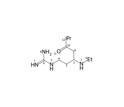 CCNC(CCNC(=N)N)CC(=O)C(C)C